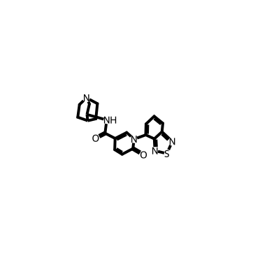 O=C(NC1CN2CCC1CC2)c1ccc(=O)n(-c2cccc3nsnc23)c1